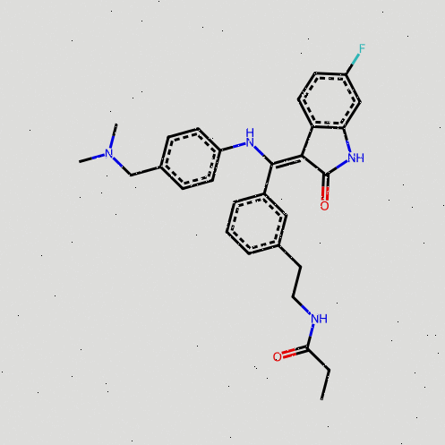 CCC(=O)NCCc1cccc(C(Nc2ccc(CN(C)C)cc2)=C2C(=O)Nc3cc(F)ccc32)c1